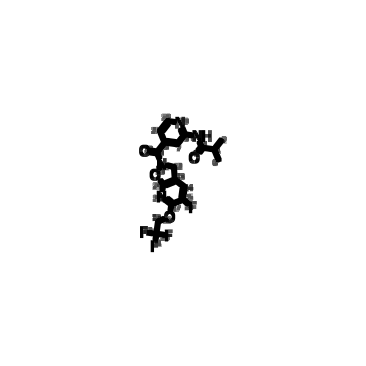 CC(C)C(=O)Nc1cc(C(=O)N2Cc3cc(F)c(OCC(F)(F)F)nc3O2)ccn1